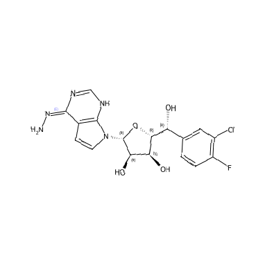 N/N=c1/nc[nH]c2c1ccn2[C@@H]1O[C@H]([C@H](O)c2ccc(F)c(Cl)c2)[C@@H](O)[C@H]1O